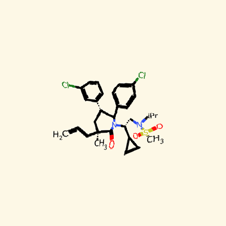 C=CC[C@@]1(C)C[C@H](c2cccc(Cl)c2)C(c2ccc(Cl)cc2)N([C@H](CN(C(C)C)S(C)(=O)=O)C2CC2)C1=O